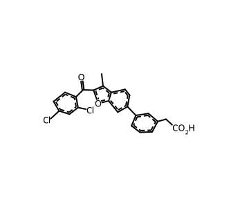 Cc1c(C(=O)c2ccc(Cl)cc2Cl)oc2cc(-c3cccc(CC(=O)O)c3)ccc12